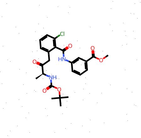 COC(=O)c1cccc(NC(=O)c2c(Cl)cccc2CC(=O)[C@H](C)NC(=O)OC(C)(C)C)c1